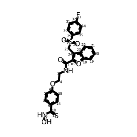 O=C(NCCOc1ccc(C(=S)NO)cc1)c1oc2ccccc2c1CS(=O)(=O)c1ccc(F)cc1